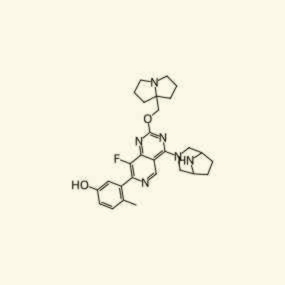 Cc1ccc(O)cc1-c1ncc2c(N3CC4CCC(C3)N4)nc(OCC34CCCN3CCC4)nc2c1F